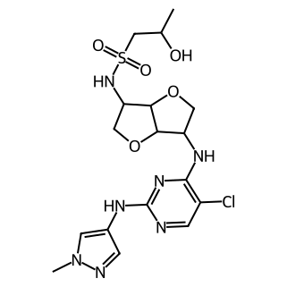 CC(O)CS(=O)(=O)NC1COC2C(Nc3nc(Nc4cnn(C)c4)ncc3Cl)COC12